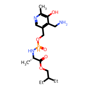 CCC(CC)COC(=O)[C@H](C)N[PH](=O)OCc1cnc(C)c(O)c1CN